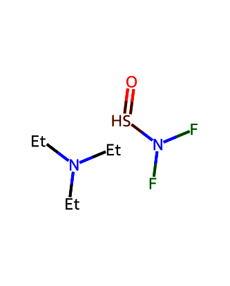 CCN(CC)CC.O=[SH]N(F)F